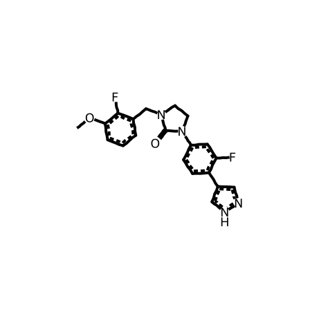 COc1cccc(CN2CCN(c3ccc(-c4cn[nH]c4)c(F)c3)C2=O)c1F